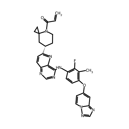 C=CC(=O)N1CC[C@H](c2ccc3ncnc(Nc4ccc(Oc5ccn6ncnc6c5)c(C)c4F)c3n2)CC12CC2